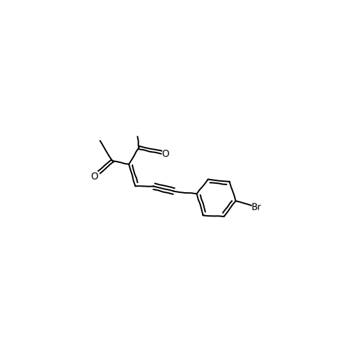 CC(=O)C(=CC#Cc1ccc(Br)cc1)C(C)=O